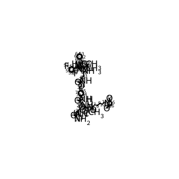 CC(C)[C@H](NC(=O)CCCCCN1C(=O)C=CC1=O)C(=O)N[C@@H](CCCNC(N)=O)C(=O)Nc1ccc(COC(=O)NCCCN[C@@H](c2nc(-c3cc(F)ccc3F)nn2Cc2ccccc2)C(C)(C)C)cc1